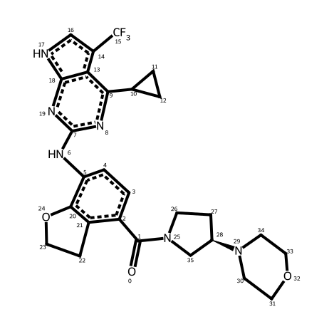 O=C(c1ccc(Nc2nc(C3CC3)c3c(C(F)(F)F)c[nH]c3n2)c2c1CCO2)N1CC[C@@H](N2CCOCC2)C1